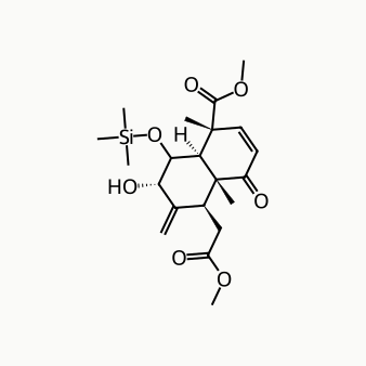 C=C1[C@H](O)C(O[Si](C)(C)C)[C@@H]2[C@](C)(C(=O)C=C[C@@]2(C)C(=O)OC)[C@H]1CC(=O)OC